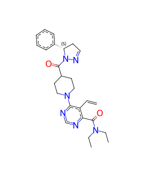 C=Cc1c(C(=O)N(CC)CC)ncnc1N1CCC(C(=O)N2N=CC[C@H]2c2ccccc2)CC1